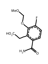 COCOc1c(F)ccc(C(N)=O)c1CC(=O)O